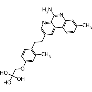 Cc1ccc2c(c1)nc(N)c1ncc(CCc3ccc(OCC(O)(O)O)cc3C)cc12